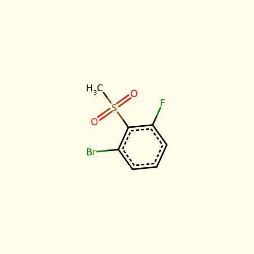 CS(=O)(=O)c1c(F)cccc1Br